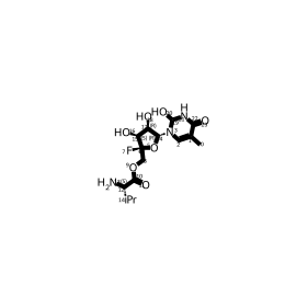 CC1=CN([C@@H]2O[C@](F)(COC(=O)[C@@H](N)C(C)C)[C@@H](O)[C@H]2O)C(O)NC1=O